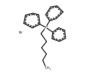 CCCCCC[P+](c1ccccc1)(c1ccccc1)c1ccccc1.[Br-]